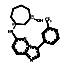 O[C@H]1CCCC[C@@H](Nc2ccc3ncc(-c4cccc(C(F)(F)F)c4)n3n2)C1